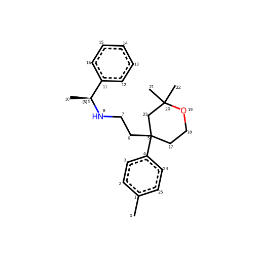 Cc1ccc(C2(CCN[C@@H](C)c3ccccc3)CCOC(C)(C)C2)cc1